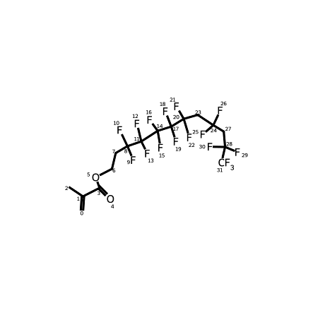 C=C(C)C(=O)OCCC(F)(F)C(F)(F)C(F)(F)C(F)(F)C(F)(F)CC(F)(F)CC(F)(F)C(F)(F)F